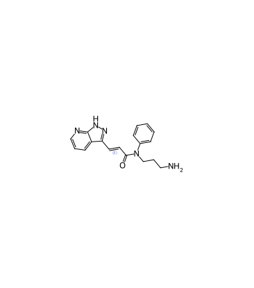 NCCCN(C(=O)/C=C/c1n[nH]c2ncccc12)c1ccccc1